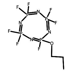 CCCOP1(F)=NP(F)(F)=NP(F)(F)=NP(F)(F)=N1